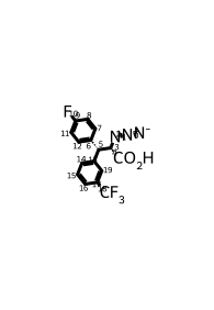 [N-]=[N+]=N[C@H](C(=O)O)[C@@H](c1ccc(F)cc1)c1cccc(C(F)(F)F)c1